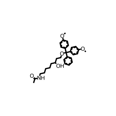 COc1ccc(C(OCCC(O)CCCCCNC(C)=O)(c2ccccc2)c2ccc(OC)cc2)cc1